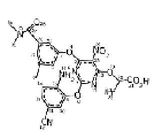 Cc1cc(Oc2nc(Oc3cc(C#N)ccc3N)nc(OC(C(=O)O)C(C)C)c2[N+](=O)[O-])cc(C(=O)N(C)C)c1